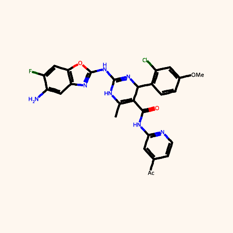 COc1ccc(C2N=C(Nc3nc4cc(N)c(F)cc4o3)NC(C)=C2C(=O)Nc2cc(C(C)=O)ccn2)c(Cl)c1